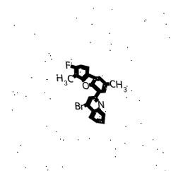 Cc1cc(-c2cc(Br)c3ccccc3n2)c2oc3c(C)c(F)ccc3c2c1